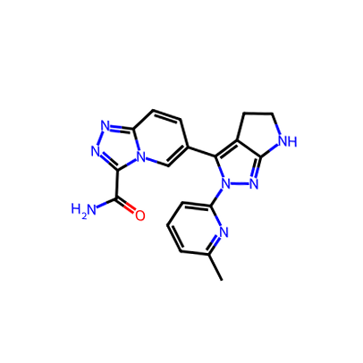 Cc1cccc(-n2nc3c(c2-c2ccc4nnc(C(N)=O)n4c2)CCN3)n1